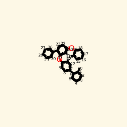 Cc1ccccc1-c1ccc2c(c1)B1c3ccccc3Oc3ccc(-c4ccccc4)c(c31)O2